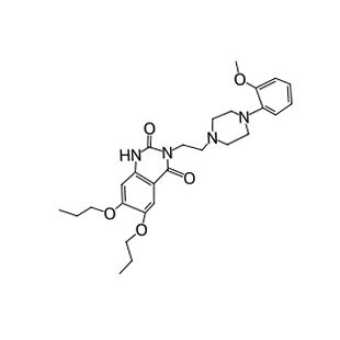 CCCOc1cc2[nH]c(=O)n(CCN3CCN(c4ccccc4OC)CC3)c(=O)c2cc1OCCC